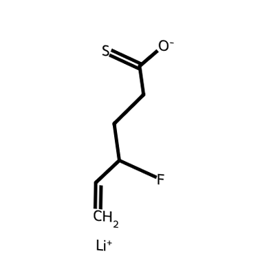 C=CC(F)CCC([O-])=S.[Li+]